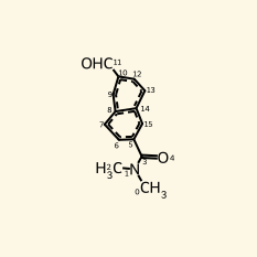 CN(C)C(=O)c1ccc2cc(C=O)ccc2c1